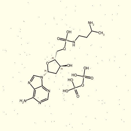 CC(N)CCNP(=O)(O)OC[C@H]1O[C@@H](n2cnc3c(N)ncnc32)C[C@@H]1O.O=P(O)(O)OP(=O)(O)O